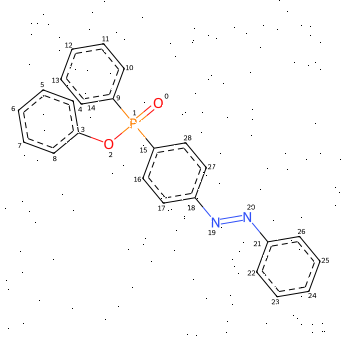 O=P(Oc1ccccc1)(c1ccccc1)c1ccc(N=Nc2ccccc2)cc1